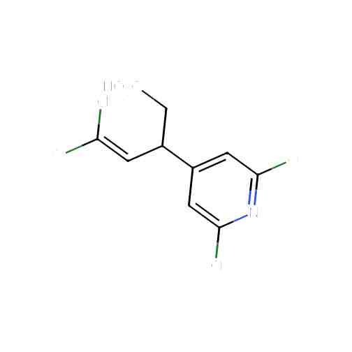 O=C(O)CC(C=C(Cl)Cl)c1cc(Cl)nc(Cl)c1